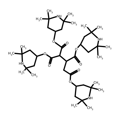 CC1(C)CC(OC(=O)CC(C(=O)OC2CC(C)(C)NC(C)(C)C2)C(C(=O)OC2CC(C)(C)NC(C)(C)C2)C(=O)OC2CC(C)(C)NC(C)(C)C2)CC(C)(C)N1